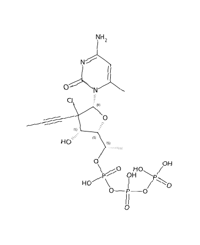 CC#CC1(Cl)[C@@H](O)[C@@H]([C@H](C)OP(=O)(O)OP(=O)(O)OP(=O)(O)O)O[C@H]1n1c(C)cc(N)nc1=O